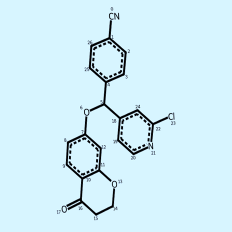 N#Cc1ccc(C(Oc2ccc3c(c2)OCCC3=O)c2ccnc(Cl)c2)cc1